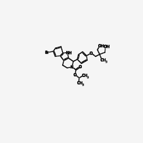 CC(C)OC(=O)N1CCc2c([nH]c3ccc(Br)cc23)C1c1ccc(OCC(C)(CO)CO)cc1